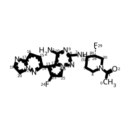 CC(=O)N1CC[C@H](Nc2nc(N)c3c(-c4ccc5nccn5n4)c(F)cn3n2)[C@H](F)C1